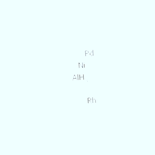 CC.[AlH3].[Ni].[Pd].[Rh]